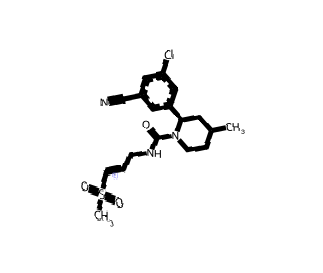 CC1CCN(C(=O)NC/C=C/S(C)(=O)=O)C(c2cc(Cl)cc(C#N)c2)C1